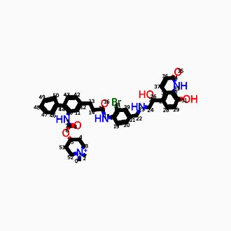 C[N+]1(C)CCC(OC(=O)Nc2cc(CCC(=O)Nc3ccc(CNC[C@H](O)c4ccc(O)c5[nH]c(=O)ccc45)cc3Br)ccc2-c2ccccc2)CC1